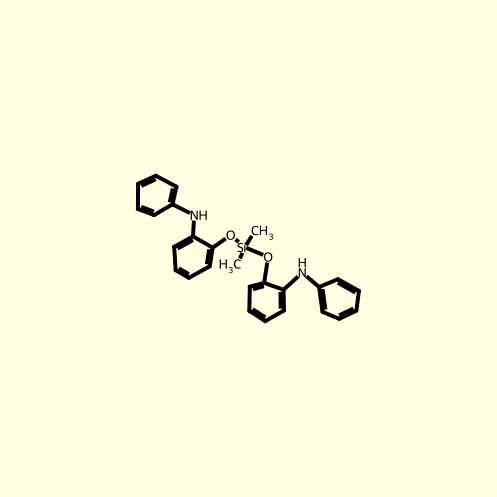 C[Si](C)(Oc1ccccc1Nc1ccccc1)Oc1ccccc1Nc1ccccc1